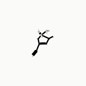 C#CC1=CC(C)P(=O)(O)C1